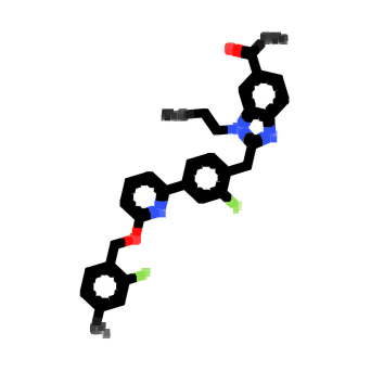 COCCn1c(Cc2ccc(-c3cccc(OCc4ccc(C(F)(F)F)cc4F)n3)cc2F)nc2ccc(C(=O)OC)cc21